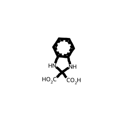 O=C(O)C1(C(=O)O)Nc2ccccc2N1